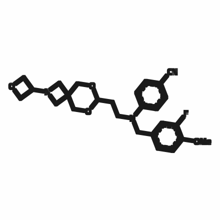 COc1ccc(CN(CCC2OCC3(CO2)CN(C2COC2)C3)c2ccc(C#N)cc2)cc1F